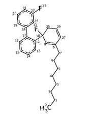 CCCCCCCCC1=CC(F)(c2ccccc2-c2cccc(F)c2)CC=C1